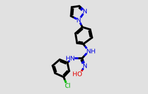 O/N=C(/Nc1ccc(-n2cccn2)cc1)Nc1cccc(Cl)c1